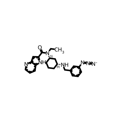 CCN(C(=O)c1cc2ncccc2[nH]1)[C@H]1CCC[C@@H](NCc2cccc(N=[N+]=[N-])c2)C1